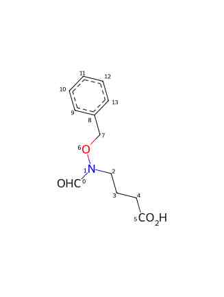 O=CN(CCCC(=O)O)OCc1ccccc1